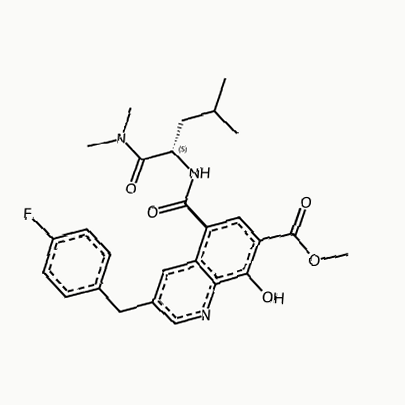 COC(=O)c1cc(C(=O)N[C@@H](CC(C)C)C(=O)N(C)C)c2cc(Cc3ccc(F)cc3)cnc2c1O